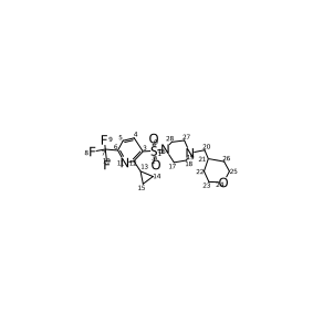 O=S(=O)(c1ccc(C(F)(F)F)nc1C1CC1)N1CCN(CC2CCOCC2)CC1